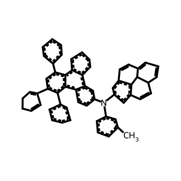 Cc1cccc(N(c2cc3c4c(c2)C=CC2C=CC=C(C=C3)C42)c2ccc3c(c2)c2ccccc2c2c(-c4ccccc4)cc(C4=CCCC=C4)c(-c4ccccc4)c32)c1